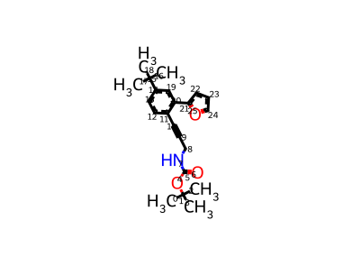 CC(C)(C)OC(=O)NCC#Cc1ccc(C(C)(C)C)cc1-c1ccco1